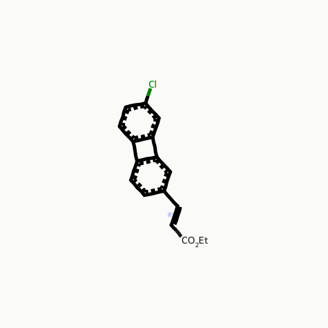 CCOC(=O)/C=C/c1ccc2c(c1)-c1cc(Cl)ccc1-2